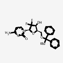 CC(C)(C)C(OC[C@H]1O[C@@H](n2ccc(N)nc2=O)C(F)(F)C1O)(c1ccccc1)c1ccccc1